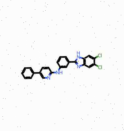 Clc1cc2nc(-c3cccc(Nc4ccc(-c5ccccc5)cn4)c3)[nH]c2cc1Cl